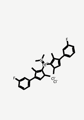 CC1=[C]([Hf+2]([C]2=C(C)C(c3cccc(F)c3)=CC2C)=[Si](C)C)C(C)C=C1c1cccc(F)c1.[Cl-].[Cl-]